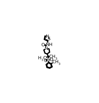 Cc1ccccc1S(=O)(=O)C(C)(C)C1CCN(C(=O)Nc2ccns2)CC1